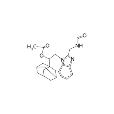 CC(=O)OC(Cn1c(CNC=O)nc2ccccc21)C12CC3CC(CC(C3)C1)C2